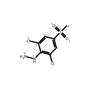 CS(=O)(=O)c1cc(Cl)c(NN)c(Cl)c1